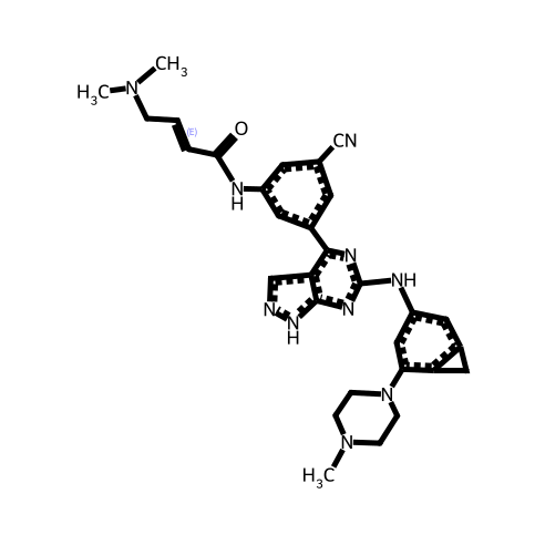 CN(C)C/C=C/C(=O)Nc1cc(C#N)cc(-c2nc(Nc3cc4c(c(N5CCN(C)CC5)c3)C4)nc3[nH]ncc23)c1